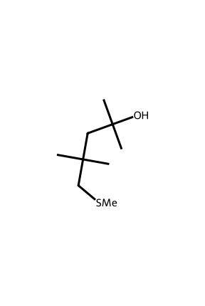 CSCC(C)(C)CC(C)(C)O